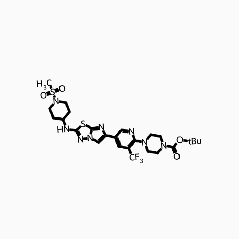 CC(C)(C)OC(=O)N1CCN(c2ncc(-c3cn4nc(NC5CCN(S(C)(=O)=O)CC5)sc4n3)cc2C(F)(F)F)CC1